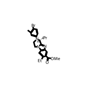 CCc1cc2c(cc1C(=O)OC)nc1n2CCN(c2ccc(Br)c(C)c2)[C@@H]1C(C)C